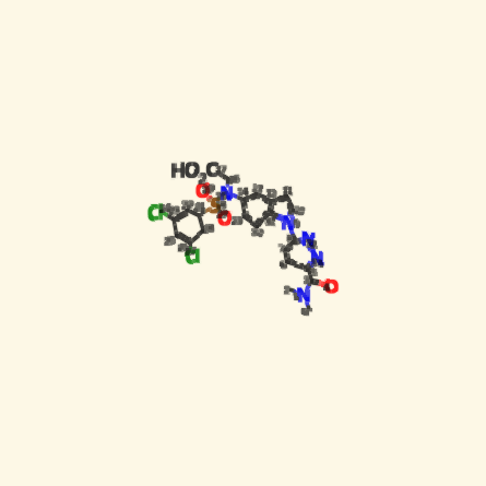 CN(C)C(=O)c1ccc(-n2ccc3cc(N(CC(=O)O)S(=O)(=O)C4C=C(Cl)C=C(Cl)C4)ccc32)nn1